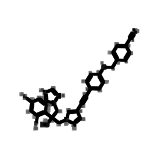 N#Cc1ccc(COc2ccc(C#Cc3cnn(CC(O)(Cn4cncn4)c4ccc(F)cc4F)c3)cc2)cc1